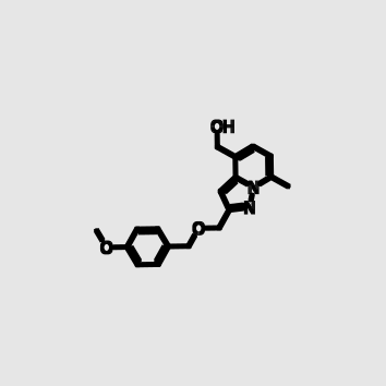 COc1ccc(COCc2cc3c(CO)ccc(C)n3n2)cc1